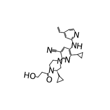 C=Cc1ccnc(Nc2cc(C#N)c(N3CCN(C(=O)CCO)[C@H](C4CC4)C3)nc2C2CC2)c1